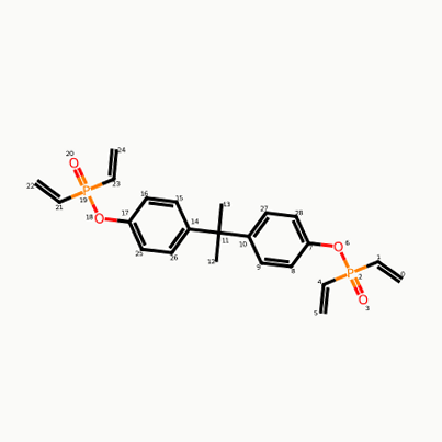 C=CP(=O)(C=C)Oc1ccc(C(C)(C)c2ccc(OP(=O)(C=C)C=C)cc2)cc1